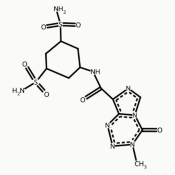 Cn1nnc2c(C(=O)NC3CC(S(N)(=O)=O)CC(S(N)(=O)=O)C3)ncn2c1=O